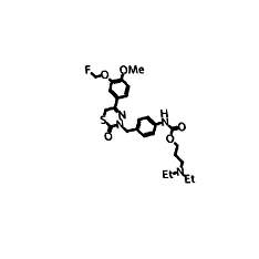 CCN(CC)CCCOC(=O)Nc1ccc(CN2N=C(c3ccc(OC)c(OCF)c3)CSC2=O)cc1